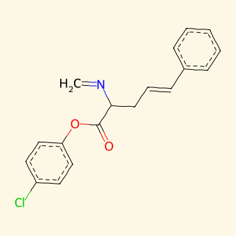 C=NC(C/C=C/c1ccccc1)C(=O)Oc1ccc(Cl)cc1